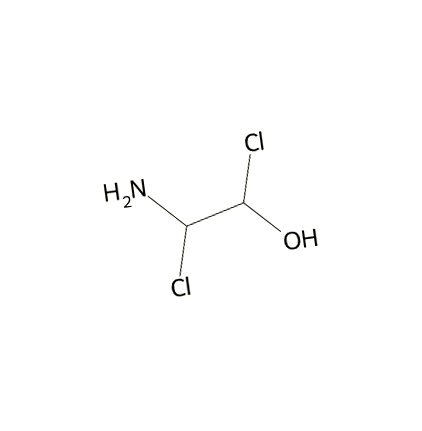 NC(Cl)C(O)Cl